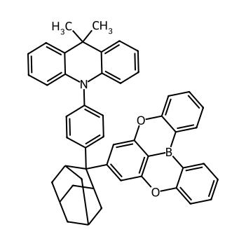 CC1(C)c2ccccc2N(c2ccc(C3(c4cc5c6c(c4)Oc4ccccc4B6c4ccccc4O5)C4CC5CC(C4)CC3C5)cc2)c2ccccc21